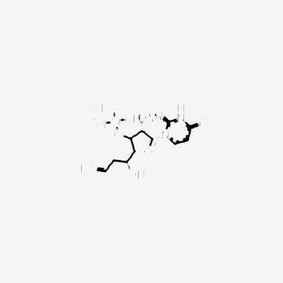 C=CC[C@H](O)[C@H]1O[C@@H](n2ccc(=O)[nH]c2=O)[C@@H](OC)C1O[Si](C)(C)C(C)(C)C